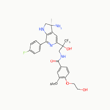 COc1cc(C(=O)NCC(O)(c2cc3c(c(-c4ccc(F)cc4)n2)NC[C@@]3(C)N)C(F)(F)F)ccc1OCCO